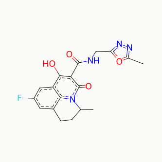 Cc1nnc(CNC(=O)c2c(O)c3cc(F)cc4c3n(c2=O)C(C)CC4)o1